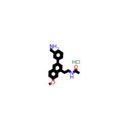 COc1ccc2cc(-c3cccc(CN)c3)cc(CCNC(C)=O)c2c1.Cl